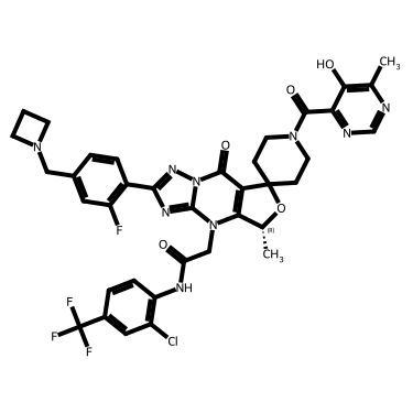 Cc1ncnc(C(=O)N2CCC3(CC2)O[C@H](C)c2c3c(=O)n3nc(-c4ccc(CN5CCC5)cc4F)nc3n2CC(=O)Nc2ccc(C(F)(F)F)cc2Cl)c1O